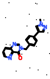 Cn1cc(-c2ccc(Cn3cnc4cccnc4c3=O)cc2)cn1